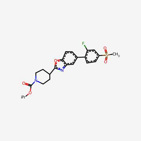 CC(C)OC(=O)N1CCC(c2nc3cc(-c4ccc(S(C)(=O)=O)cc4F)ccc3o2)CC1